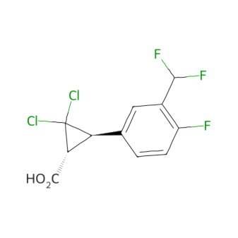 O=C(O)[C@H]1[C@H](c2ccc(F)c(C(F)F)c2)C1(Cl)Cl